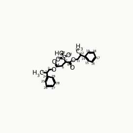 CC(COC(=O)CC(C(=O)OCC(C)c1ccccc1)S(=O)(=O)O)c1ccccc1